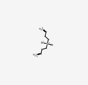 C=CCC[Si](Br)(Br)CCC=C